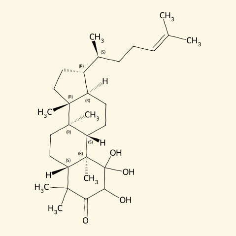 CC(C)=CCC[C@H](C)[C@H]1CC[C@]2(C)[C@@H]1CC[C@@H]1[C@]3(C)[C@@H](CC[C@]12C)C(C)(C)C(=O)C(O)C3(O)O